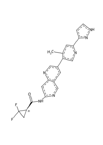 Cc1cc(-c2cc[nH]n2)ncc1-c1cnc2cc(NC(=O)[C@H]3CC3(F)F)ncc2c1